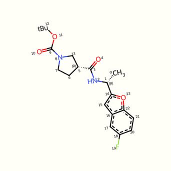 C[C@@H](NC(=O)[C@@H]1CCN(C(=O)OC(C)(C)C)C1)c1cc2cc(F)ccc2o1